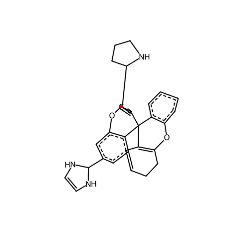 C1=CC2=C(CC1)Oc1ccccc1C21C2=C(CC(C3CCCN3)C=C2)Oc2cc(C3NC=CN3)ccc21